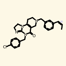 C/C=C\c1cccc(CN2CCC3=C(C2)C(=O)N(Cc2ccc(Cl)cc2)C2=NCCN23)c1